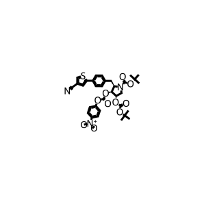 CC(C)(C)OC(=O)O[C@H]1CN(C(=O)OC(C)(C)C)[C@H](Cc2ccc(-c3cc(C#N)cs3)cc2)[C@@H]1OC(=O)Oc1ccc([N+](=O)[O-])cc1